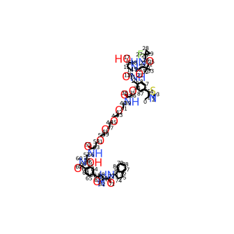 Cc1ncsc1-c1ccc(CNC(=O)[C@@H]2C[C@@H](O)CN2C(=O)[C@@H](NC(=O)C2(F)CC2)C(C)(C)C)c(OCC(=O)NCCOCCOCCOCCOCCC(=O)NCCN(C)C(=O)c2ccc(-c3cc(C(=O)N[C@@H]4CCc5ccccc54)no3)cc2O)c1